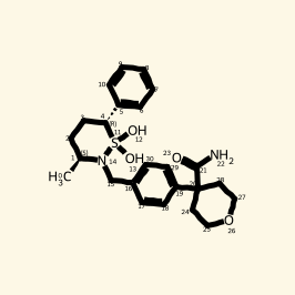 C[C@H]1CC[C@H](c2ccccc2)S(O)(O)N1Cc1ccc(C2(C(N)=O)CCOCC2)cc1